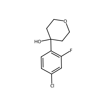 OC1(c2ccc(Cl)cc2F)CCOCC1